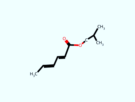 CC=CC=CC(=O)OCC(C)C